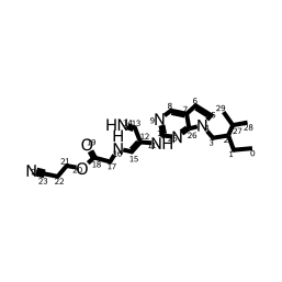 CCC(Cn1ccc2cnc(N/C(C=N)=C/NCC(=O)OCCC#N)nc21)C(C)C